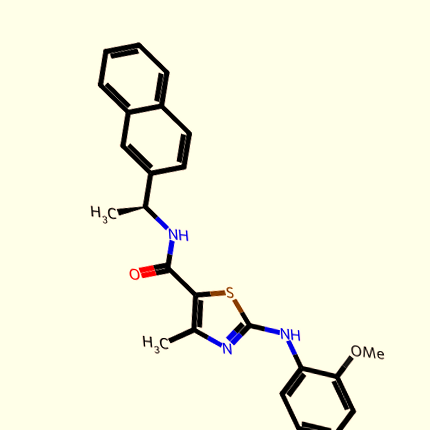 COc1ccccc1Nc1nc(C)c(C(=O)N[C@@H](C)c2ccc3ccccc3c2)s1